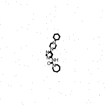 O=C(Nc1cc(N2CCN(C3CCCCC3)CC2)ncn1)N1CCCCCC1